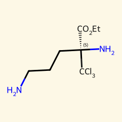 CCOC(=O)[C@@](N)(CCCN)C(Cl)(Cl)Cl